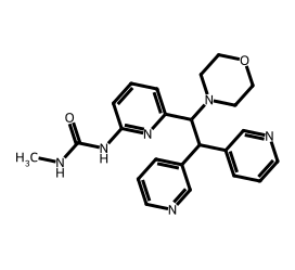 CNC(=O)Nc1cccc(C(C(c2cccnc2)c2cccnc2)N2CCOCC2)n1